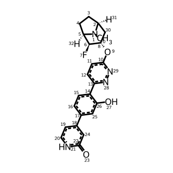 CN1[C@H]2CC[C@@H]1[C@H](F)[C@@H](Oc1ccc(-c3ccc(-c4cc[nH]c(=O)c4)cc3O)nn1)C2